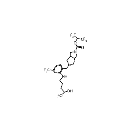 O=C(OC(C(F)(F)F)C(F)(F)F)N1CC2CN(Cc3ccc(C(F)(F)F)cc3NCCCC(O)O)CC2C1